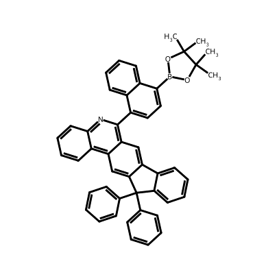 CC1(C)OB(c2ccc(-c3nc4ccccc4c4cc5c(cc34)-c3ccccc3C5(c3ccccc3)c3ccccc3)c3ccccc23)OC1(C)C